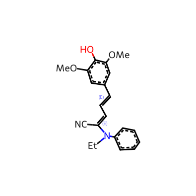 CCN(/C(C#N)=C/C=C/c1cc(OC)c(O)c(OC)c1)c1ccccc1